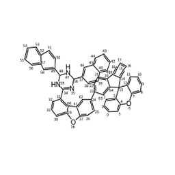 c1ccc2c(c1)Oc1ccccc1C21c2ccccc2-c2ccc(-c3ccc4oc5cccc(C6=NC(c7ccc8ccccc8c7)NC(c7ccc8ccccc8c7)N6)c5c4c3)cc21